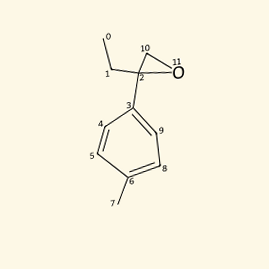 CCC1(c2ccc(C)cc2)CO1